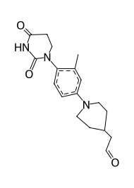 Cc1cc(N2CCC(CC=O)CC2)ccc1N1CCC(=O)NC1=O